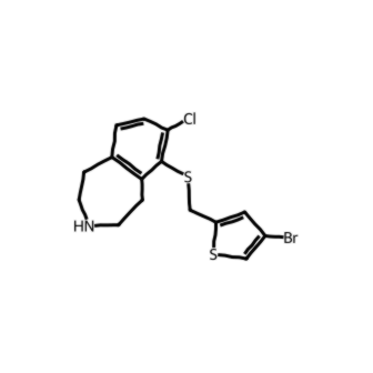 Clc1ccc2c(c1SCc1cc(Br)cs1)CCNCC2